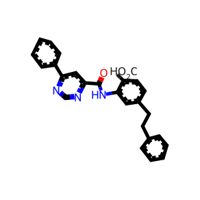 O=C(Nc1cc(CCc2ccccc2)ccc1C(=O)O)c1cc(-c2ccccc2)ncn1